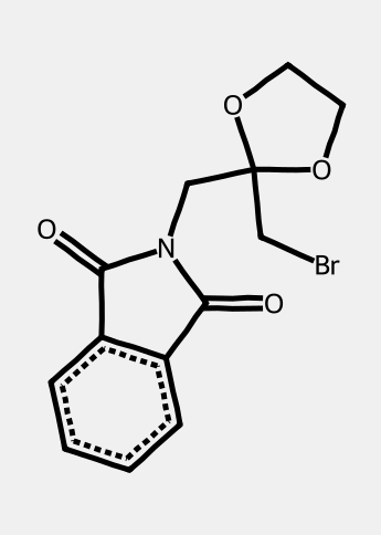 O=C1c2ccccc2C(=O)N1CC1(CBr)OCCO1